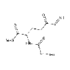 COC(=O)[C@H](CCC(=O)C=N)NC(=O)OC(C)(C)C